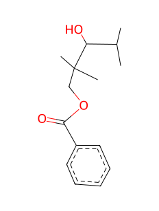 CC(C)C(O)C(C)(C)COC(=O)c1ccccc1